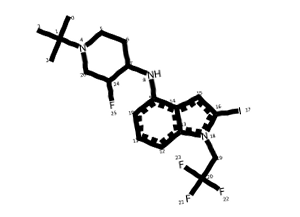 CC(C)(C)N1CCC(Nc2cccc3c2cc(I)n3CC(F)(F)F)C(F)C1